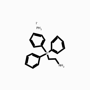 NCC[P+](c1ccccc1)(c1ccccc1)c1ccccc1.P.[I-]